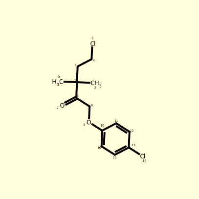 CC(C)(CCCl)C(=O)COc1ccc(Cl)cc1